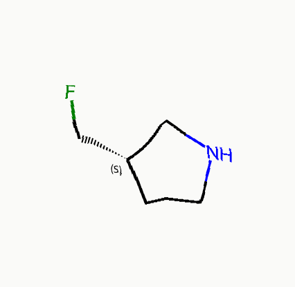 FC[C@H]1CCNC1